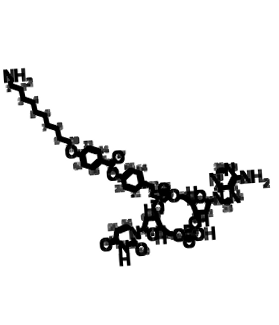 NCCCCCCCCCCOc1ccc(C(=O)Oc2ccc(CSP3(=O)OC[C@H]4O[C@@H](n5cnc6c(N)ncnc65)C[C@@H]4OP(=O)(O)OC[C@H]4O[C@@H](n5ccc(=O)[nH]c5=O)C[C@@H]4O3)cc2)cc1